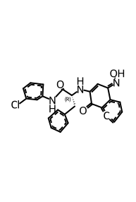 O=C1C(N[C@H](Cc2ccccc2)C(=O)Nc2cccc(Cl)c2)=CC(=NO)c2ccccc21